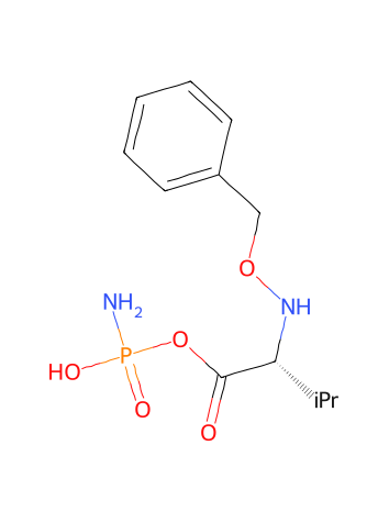 CC(C)[C@@H](NOCc1ccccc1)C(=O)OP(N)(=O)O